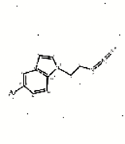 [N-]=[N+]=NCCn1ccc2cc([3O])ccc21